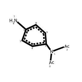 CC(=O)N(C(C)=O)c1ccc(N)cc1